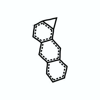 [c]1cc2cc3ccccc3cc2c2c1C2